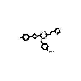 COc1ccc(C[C@@H](NC(=O)CCc2c[nH]cn2)C(=O)N2CC(c3ccc(F)cc3)C2)cc1